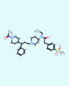 CCN(C(=O)Cc1ccc(S(C)(=O)=O)cc1)C1CCN(CCC(c2ccccc2)C2CCN(C(C)=O)CC2)CC1